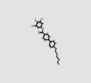 CCCCCCCc1ccc(-c2ccc(C(=O)Oc3cc(F)c(F)c(F)c3)cc2)cc1